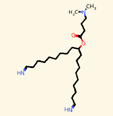 CN(C)CCCC(=O)OC(CCCCCCCCC=N)CCCCCCCCC=N